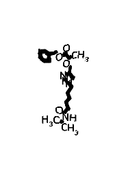 CC(C)NC(=O)CCCCCn1cc(COC(C)C(=O)OCc2ccccc2)nn1